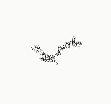 Cc1ncsc1-c1ccc(CNC(=O)[C@@H]2C[C@@H](O)CN2C(=O)C(NC(=O)COCCOCC(=O)NCCn2ncc3cc(C(=O)Nc4ccc5[nH]c(CN6CCC[C@@H]6C)nc5c4)ccc32)C(C)(C)C)cc1